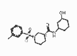 Cc1cccc(S(=O)(=O)N2CCC[C@H](C(=O)NC3CCCC(O)C3)C2)c1